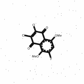 COc1cc(F)c(OC)c2c1C(=O)C(Cl)=C(Cl)C2=O